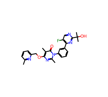 Cc1cccc(COc2nc(C)n(-c3cccc(-c4nc(C(C)(C)O)ncc4F)c3)c(=O)c2C)n1